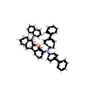 c1ccc(-c2ccc(N(c3ccc(-c4ccccc4)cc3)c3cccc4c3oc3c(-c5cccc6ccccc56)c5ccccc5cc34)cc2)cc1